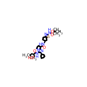 CC(C)CC(CO)C(=O)Nc1c(-c2ccccc2)nc2c(C(=O)NCc3ccc4nc(NC(=O)OC(C)(C)C)sc4c3)cccn12